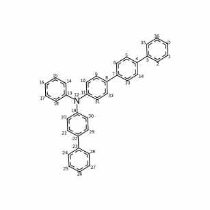 c1ccc(-c2ccc(-c3ccc(N(c4ccccc4)c4ccc(-c5ccccc5)cc4)cc3)cc2)cc1